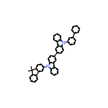 CC1(C)c2ccccc2-c2cc(-n3c4ccccc4c4cc(-c5ccc6c(c5)c5ccccc5n6-c5cccc(-c6ccccc6)c5)ccc43)ccc21